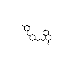 Cc1cccc(CN2CCC(CCCN3C(=O)CCc4ccccc43)CC2)c1